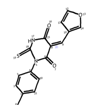 Cc1ccc(N2C(=O)/C(=C/c3ccoc3)C(=O)NC2=S)cc1